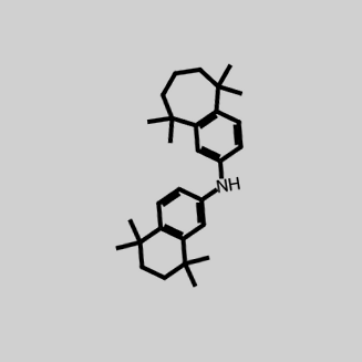 CC1(C)CCCC(C)(C)c2cc(Nc3ccc4c(c3)C(C)(C)CCC4(C)C)ccc21